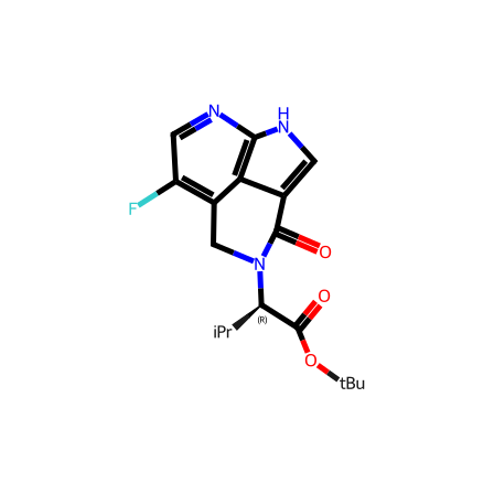 CC(C)[C@H](C(=O)OC(C)(C)C)N1Cc2c(F)cnc3[nH]cc(c23)C1=O